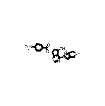 C[C@@H]1C[C@@H](OC(=O)c2ccc([N+](=O)[O-])cc2)c2ncnc(-n3cc4c(n3)CNC4)c21